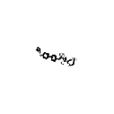 N#C[C@H](Cc1ccc(-c2ccc(SN3CCC3)cc2)cc1)NC(=O)[C@@H]1CNCCCO1